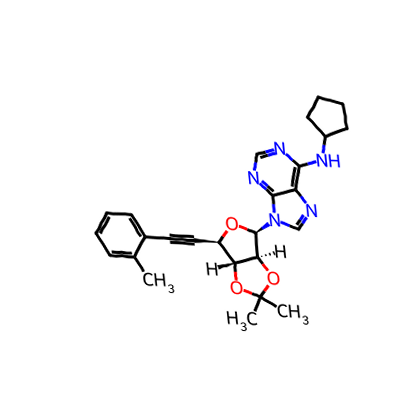 Cc1ccccc1C#C[C@H]1O[C@@H](n2cnc3c(NC4CCCC4)ncnc32)[C@H]2OC(C)(C)O[C@@H]21